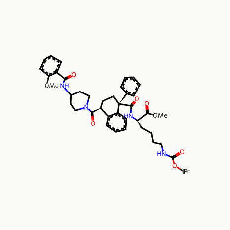 COC(=O)[C@@H](CCCCNC(=O)OC(C)C)NC(=O)[C@@]1(c2ccccc2)CC[C@H](C(=O)N2CCC(NC(=O)c3ccccc3OC)CC2)c2ccccc21